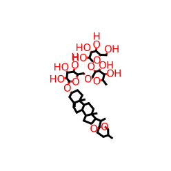 CC1CCC2(OC1)OC1CC3C4CC=C5CC(OC6OC(COC7OC(C)C(O)C(O)C7OC7OC(CO)C(O)C(O)C7O)C(O)C(O)C6O)CCC5(C)C4CCC3(C)C1C2C